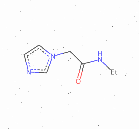 CCNC(=O)Cn1c[c]nc1